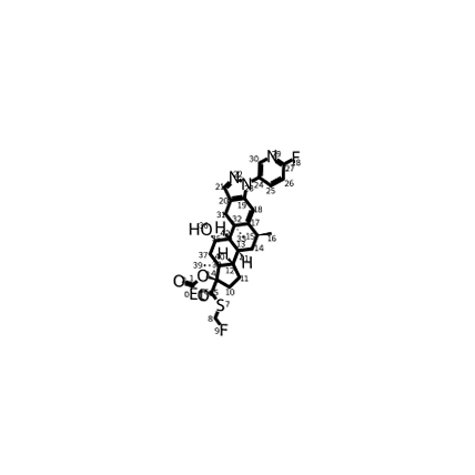 CCC(=O)O[C@]1(C(=O)SCF)CC[C@H]2[C@@H]3C[C@H](C)C4=Cc5c(cnn5-c5ccc(F)nc5)C[C@]4(C)[C@H]3[C@@H](O)C[C@@]21C